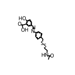 CC(=O)NCCSSCc1ccc(N=Nc2ccc(O)c(C(=O)O)c2)cc1